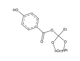 CCCCCCCCOC(CC)(OCCC)OC(=O)c1ccc(O)cc1